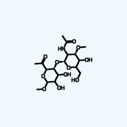 COC1OC(C(C)=O)[C@@H](O[C@@H]2OC(CO)C(O)[C@H](OC)C2NC(C)=O)C(O)C1O